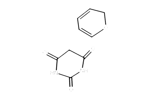 C1=CCOC=C1.O=C1CC(=O)NC(=O)N1